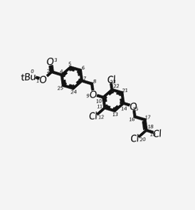 CC(C)(C)OC(=O)c1ccc(COc2c(Cl)cc(OCC=C(Cl)Cl)cc2Cl)cc1